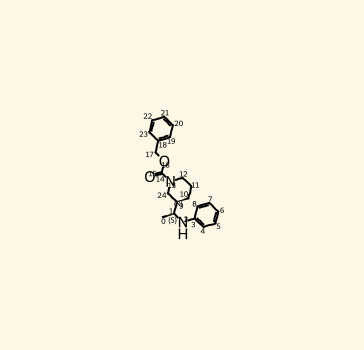 C[C@H](Nc1ccccc1)[C@@H]1CCCN(C(=O)OCc2ccccc2)C1